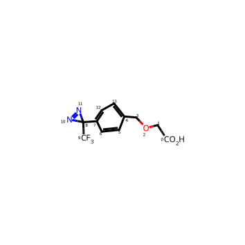 O=C(O)COCc1ccc(C2(C(F)(F)F)N=N2)cc1